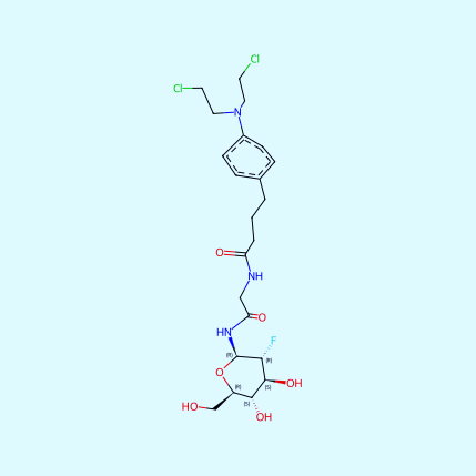 O=C(CCCc1ccc(N(CCCl)CCCl)cc1)NCC(=O)N[C@@H]1O[C@H](CO)[C@@H](O)[C@H](O)[C@H]1F